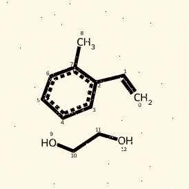 C=Cc1ccccc1C.OCCO